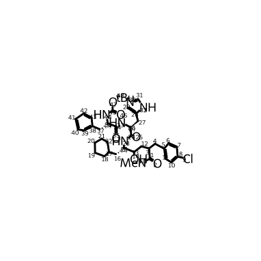 CNC(=O)C(Cc1ccc(Cl)cc1)CC(O)[C@H](CC1CCCCC1)NC(=O)[C@H](Cc1cnc[nH]1)NC(=O)[C@H](Cc1ccccc1)NC(=O)OC(C)(C)C